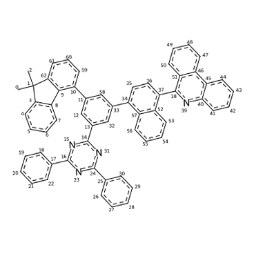 CC1(C)c2ccccc2-c2c(-c3cc(-c4nc(-c5ccccc5)nc(-c5ccccc5)n4)cc(-c4ccc(-c5nc6ccccc6c6ccccc56)c5ccccc45)c3)cccc21